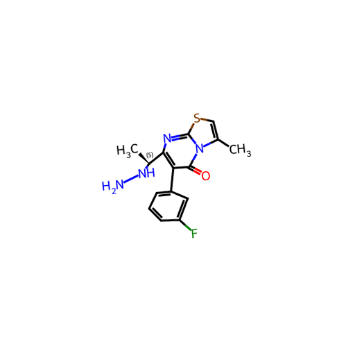 Cc1csc2nc([C@H](C)NN)c(-c3cccc(F)c3)c(=O)n12